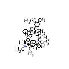 C/C=C/[C@@H](C)C[C@@H](C)C(=O)[C@H](OC)[C@H](O)/C(C)=C/[C@@H](C)C(=O)C[C@H](OC(=O)[C@@H]1CCCCN1C(=O)C=O)[C@H](C)C[C@@H]1CC[C@@H](O)[C@H](OC)C1